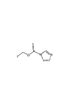 O=C(OCI)n1ccnc1